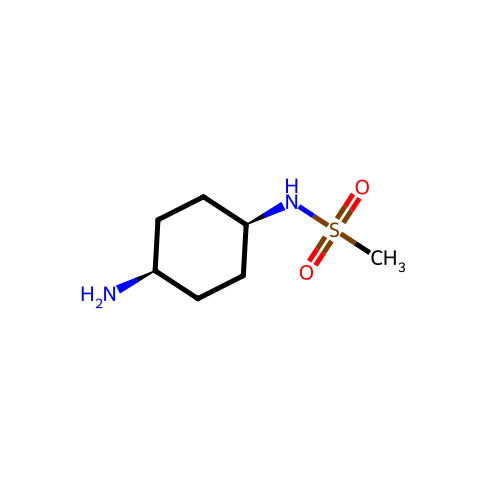 CS(=O)(=O)N[C@H]1CC[C@@H](N)CC1